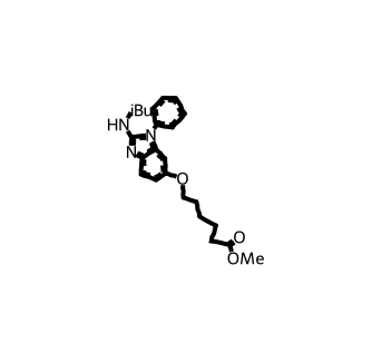 CCC(C)Nc1nc2ccc(OCCCCCC(=O)OC)cc2n1-c1ccccc1